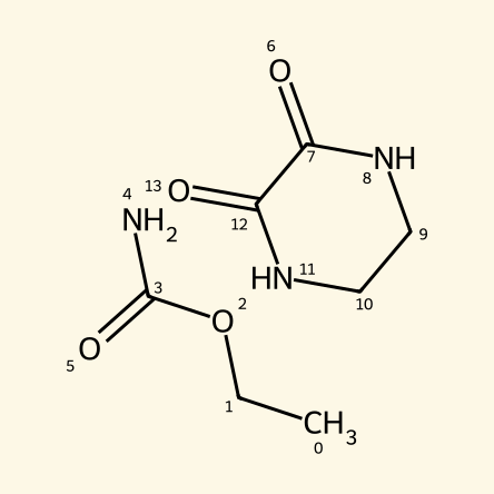 CCOC(N)=O.O=C1NCCNC1=O